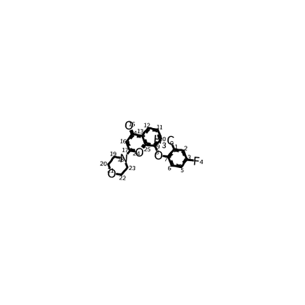 Cc1cc(F)ccc1Oc1cccc2c(=O)cc(N3CCOCC3)oc12